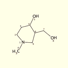 CN1CCC(O)C(CO)C1